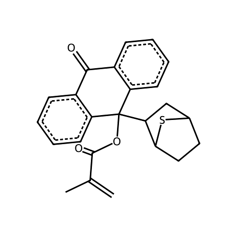 C=C(C)C(=O)OC1(C2CC3CCC2S3)c2ccccc2C(=O)c2ccccc21